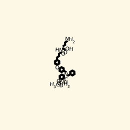 Cc1c(NS(C)(=O)=O)cccc1N(Cc1ccccc1)Cc1ccc(Oc2ccc(CCCC(=O)N[C@@H](CCCCN)C(=O)O)cc2)cc1